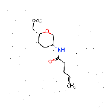 C=CCCC(=O)N[C@@H]1[CH][CH][C@H](COC(C)=O)O[CH]1